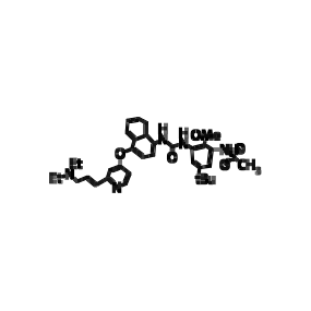 CCN(CC)CC=Cc1cc(Oc2ccc(NC(=O)Nc3cc(C(C)(C)C)cc(NS(C)(=O)=O)c3OC)c3ccccc23)ccn1